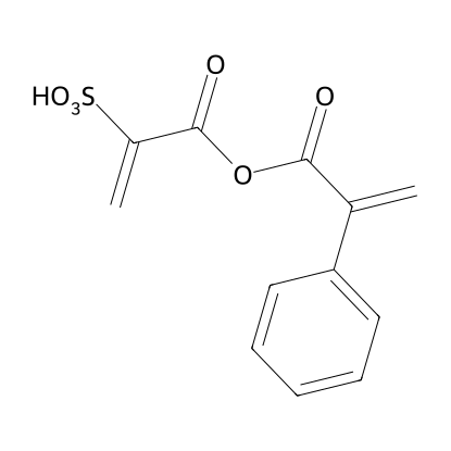 C=C(C(=O)OC(=O)C(=C)S(=O)(=O)O)c1ccccc1